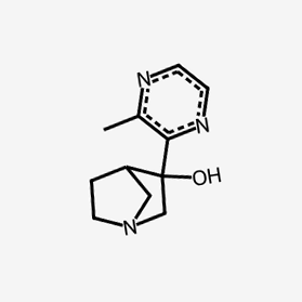 Cc1nccnc1C1(O)CN2CCC1C2